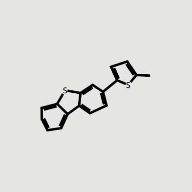 Cc1ccc(-c2ccc3c(c2)sc2ccccc23)s1